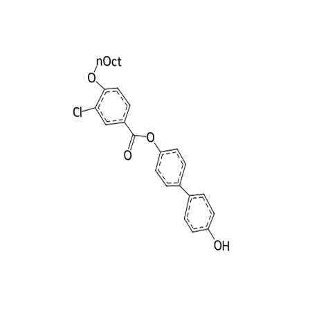 CCCCCCCCOc1ccc(C(=O)Oc2ccc(-c3ccc(O)cc3)cc2)cc1Cl